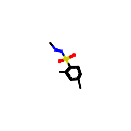 CN=NS(=O)(=O)c1ccc(C)cc1C